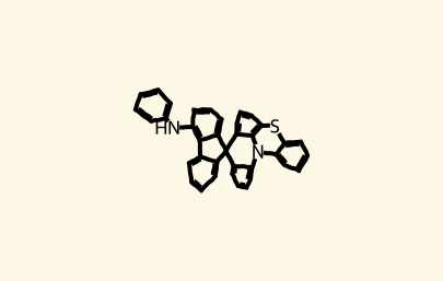 c1ccc(Nc2cccc3c2-c2ccccc2C32c3ccccc3N3c4ccccc4Sc4cccc2c43)cc1